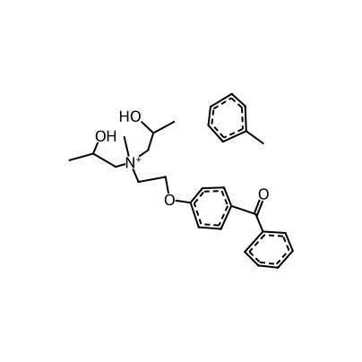 CC(O)C[N+](C)(CCOc1ccc(C(=O)c2ccccc2)cc1)CC(C)O.Cc1ccccc1